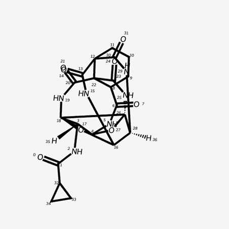 O=C(N[C@H]1C2NC(=O)C3CCCC45C(=O)NC6O[C@]17NC(=O)C34C(=O)N[C@@]7(O2)[C@H]6NC5=O)C1CC1